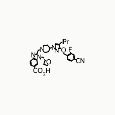 CC(C)c1cn(C2CCN(Cc3nc4ccc(C(=O)O)cc4n3C[C@@H]3CCO3)CC2)nc1OCc1ccc(C#N)cc1F